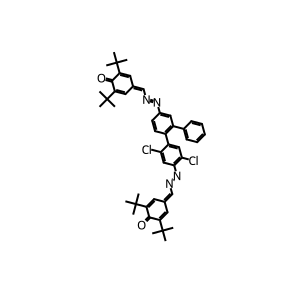 CC(C)(C)C1=CC(=C/N=N/c2ccc(-c3cc(Cl)c(/N=N/C=C4C=C(C(C)(C)C)C(=O)C(C(C)(C)C)=C4)cc3Cl)c(-c3ccccc3)c2)C=C(C(C)(C)C)C1=O